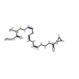 CCCCCC(=O)N(CC/C=C\C/C=C\C/C=C\CCCC(=O)N1CC1)C(C)C